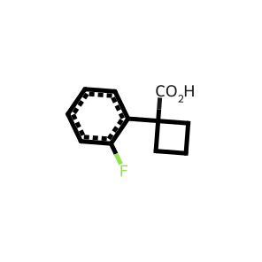 O=C(O)C1(c2ccccc2F)CCC1